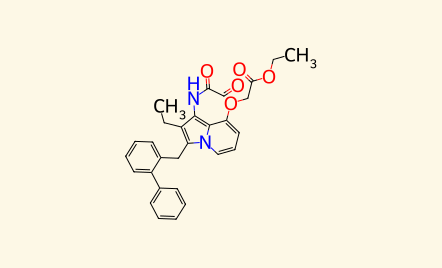 CCOC(=O)COc1cccn2c(Cc3ccccc3-c3ccccc3)c(CC)c(NC(=O)C=O)c12